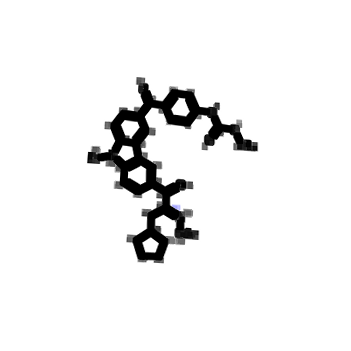 CCCCOC(=O)Oc1ccc(C(=O)c2ccc3c(c2)c2cc(C(=O)/C(CC4CCCC4)=N/OC(C)=O)ccc2n3CC)cc1